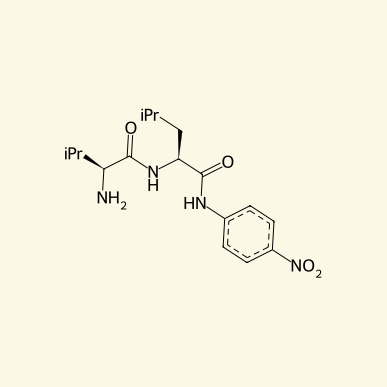 CC(C)C[C@H](NC(=O)[C@@H](N)C(C)C)C(=O)Nc1ccc([N+](=O)[O-])cc1